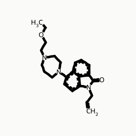 C=CCN1C(=O)c2cccc3c(N4CCCN(CCOCC)CC4)ccc1c23